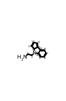 NCCN1c2ccccc2C2=CC=CC21